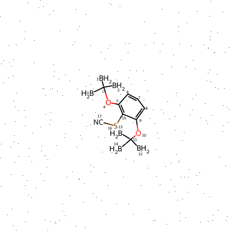 BC(B)(B)Oc1cccc(OC(B)(B)B)c1SC#N